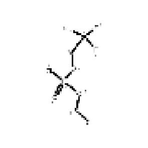 CSOP(=O)(Cl)OCC(F)(F)F